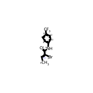 C/C=C(\Br)C(=O)Nc1ccc(C(F)(F)F)cc1